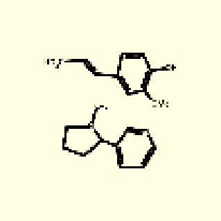 CN1CCCC1c1cccnc1.COc1cc(/C=C/C(=O)O)ccc1O